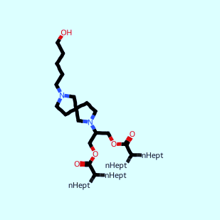 CCCCCCCC(CCCCCCC)C(=O)OCC(COC(=O)C(CCCCCCC)CCCCCCC)N1CCC2(CCN(CCCCCO)C2)C1